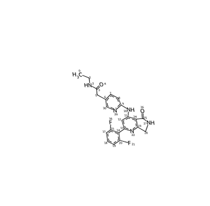 CCNC(=O)Cc1ccc(Nc2cc(-c3c(F)cccc3F)nc3c2C(=O)NC3)nc1